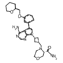 NC(=O)[C@@H]1COCCN1CC1CC(n2cc(-c3cccc(OCC4CCCCO4)c3)c3c(N)ncnc32)C1